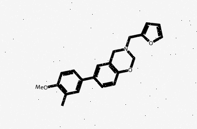 COc1ccc(-c2ccc3c(c2)CN(Cc2ccco2)CO3)cc1C